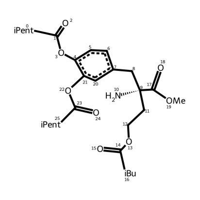 CCCC(C)C(=O)Oc1ccc(C[C@](N)(CCOC(=O)C(C)CC)C(=O)OC)cc1OC(=O)C(C)CCC